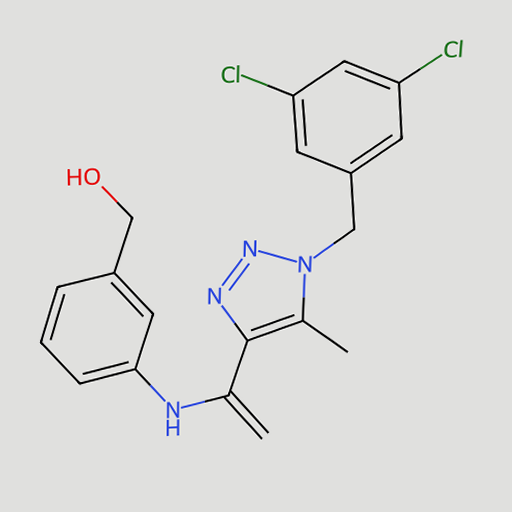 C=C(Nc1cccc(CO)c1)c1nnn(Cc2cc(Cl)cc(Cl)c2)c1C